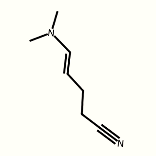 CN(C)C=CCCC#N